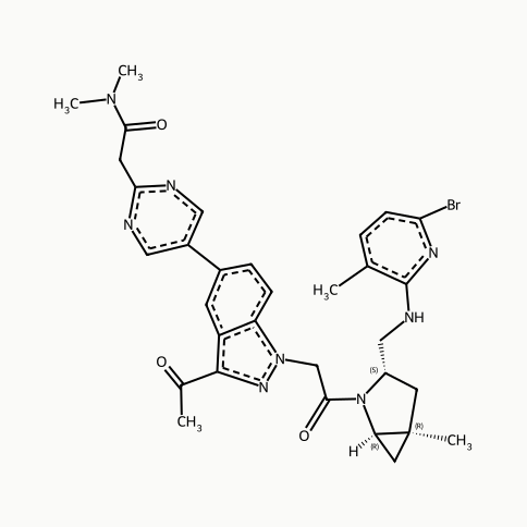 CC(=O)c1nn(CC(=O)N2[C@H](CNc3nc(Br)ccc3C)C[C@@]3(C)C[C@@H]23)c2ccc(-c3cnc(CC(=O)N(C)C)nc3)cc12